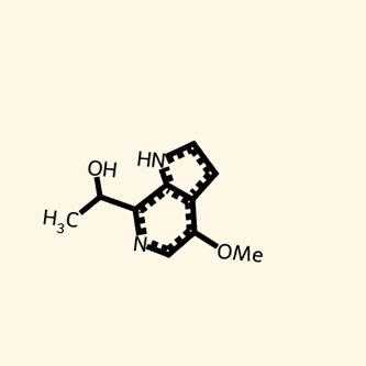 COc1cnc(C(C)O)c2[nH]ccc12